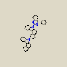 c1ccc(-c2nc(-n3c4ccccc4c4c5cc(-n6c7ccccc7c7c8ccccc8ccc76)ccc5ccc43)nc3ccccc23)cc1